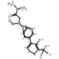 CN(C)C(=O)CN(N=O)N1c2cc(C3=CCCC(C(F)(F)F)=C3F)cnc21